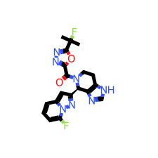 CC(C)(F)c1nnc(C(=O)N2CCc3[nH]cnc3[C@H]2c2cc3cccc(F)n3n2)o1